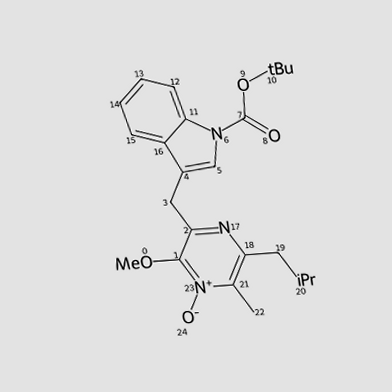 COc1c(Cc2cn(C(=O)OC(C)(C)C)c3ccccc23)nc(CC(C)C)c(C)[n+]1[O-]